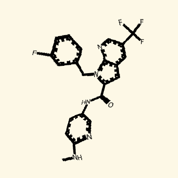 CNc1ccc(NC(=O)c2cc3cc(C(F)(F)F)cnc3n2Cc2cccc(F)c2)cn1